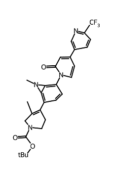 CC1=C(c2ccc(-n3ccc(-c4ccc(C(F)(F)F)nc4)cc3=O)c3c2N3C)CCN(C(=O)OC(C)(C)C)C1